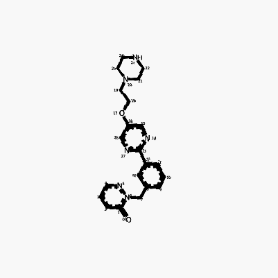 O=c1cccnn1Cc1cccc(-c2ncc(OCCN3CCNCC3)cn2)c1